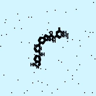 C/C(N)=C/C(=C\N)NC(=O)c1cc2ccc(-c3nccc(Nc4ccc5[nH]ncc5c4)n3)cc2[nH]1